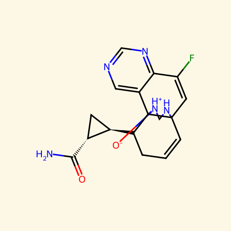 NC(=O)[C@@H]1C[C@H]1C1CC=CC23C=C(F)c4ncncc4C12[NH+]([O-])CN3